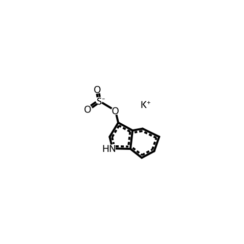 O=[S-](=O)Oc1c[nH]c2ccccc12.[K+]